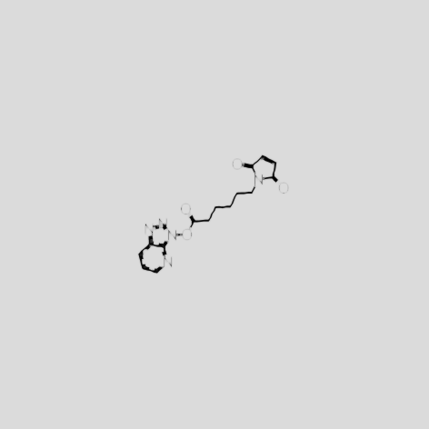 O=C(CCCCCN1C(=O)C=CC1=O)On1nnc2cccnc21